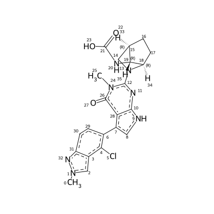 Cn1cc2c(Cl)c(-c3c[nH]c4nc(N5C[C@H]6CC[C@@H]5[C@@H]6NC(=O)O)n(C)c(=O)c34)ccc2n1